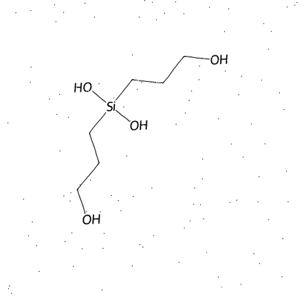 OCCC[Si](O)(O)CCCO